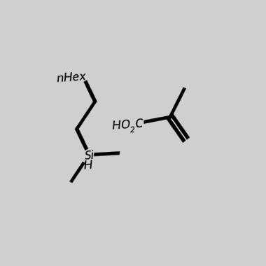 C=C(C)C(=O)O.CCCCCCCC[SiH](C)C